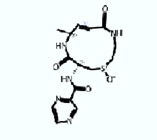 C[C@H]1/C=C/C(=O)NCC[S+]([O-])C[C@H](NC(=O)c2cnccn2)C(=O)N1